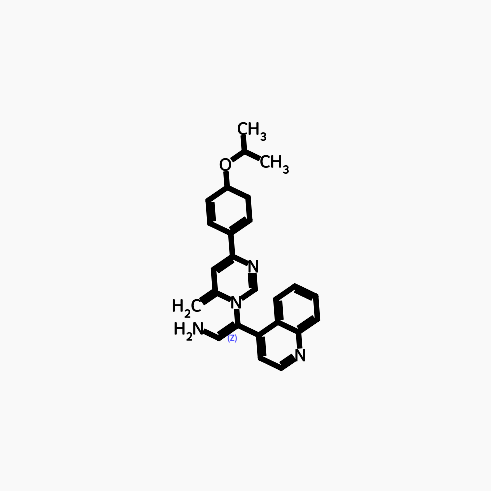 C=C1C=C(C2=CCC(OC(C)C)C=C2)N=CN1/C(=C\N)c1ccnc2ccccc12